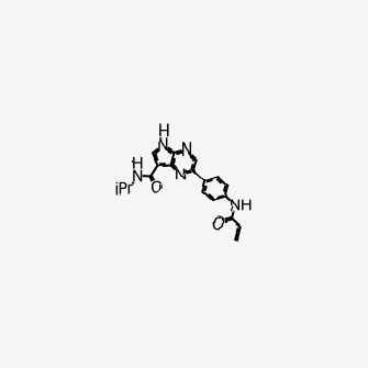 C=CC(=O)Nc1ccc(-c2cnc3[nH]cc(C(=O)NC(C)C)c3n2)cc1